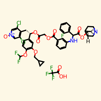 O=C(COC(=O)c1cccc(NC(C(=O)O[C@H]2CN3CCC2CC3)c2ccccc2F)c1)O[C@@H](Cc1c(Cl)c[n+]([O-])cc1Cl)c1ccc(OC(F)F)c(OCC2CC2)c1.O=C(O)C(F)(F)F